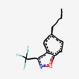 CCCc1ccc2onc(C(F)(F)F)c2c1